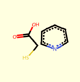 O=C(O)CS.c1ccncc1